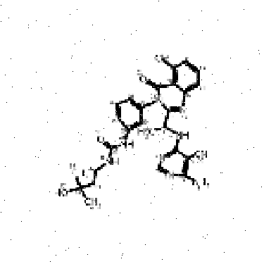 C[C@H](Nc1ncnc(N)c1C#N)c1nc2cccc(Cl)c2c(=O)n1-c1cccc(NC(=O)NCCC(C)(C)O)c1